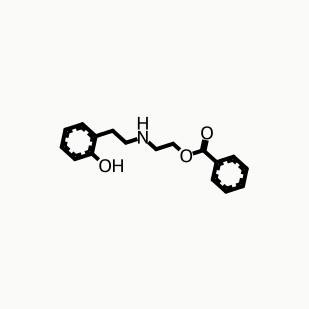 O=C(OCCNCCc1ccccc1O)c1ccccc1